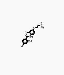 CCN(CC)CCOc1ccc(NC(=O)c2ccc(Cl)cc2Cl)c(Cl)c1